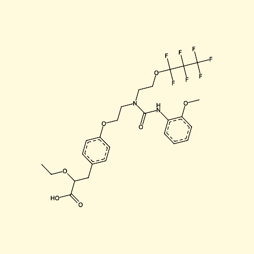 CCOC(Cc1ccc(OCCN(CCOC(F)(F)C(F)(F)C(F)(F)F)C(=O)Nc2ccccc2OC)cc1)C(=O)O